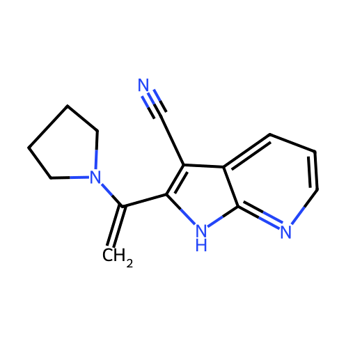 C=C(c1[nH]c2ncccc2c1C#N)N1CCCC1